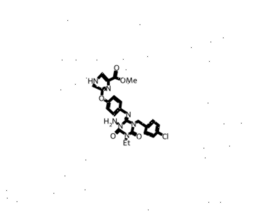 CCn1c(=O)n(N)/c(=N\c2ccc(OC3=NC(C(=O)OC)=CNC3)cc2)n(Cc2ccc(Cl)cc2)c1=O